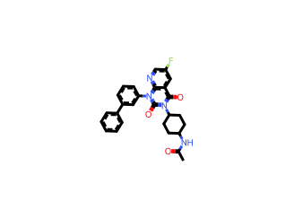 CC(=O)NC1CCC(n2c(=O)c3cc(F)cnc3n(-c3cccc(-c4ccccc4)c3)c2=O)CC1